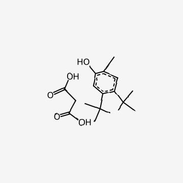 Cc1cc(C(C)(C)C)c(C(C)(C)C)cc1O.O=C(O)CC(=O)O